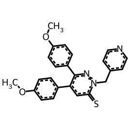 COc1ccc(-c2cc(=S)n(Cc3ccncc3)nc2-c2ccc(OC)cc2)cc1